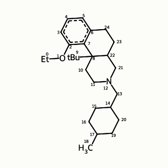 CCOc1cccc2c1C1(C(C)(C)C)CCN(CC3CCC(C)CC3)CC1CC2